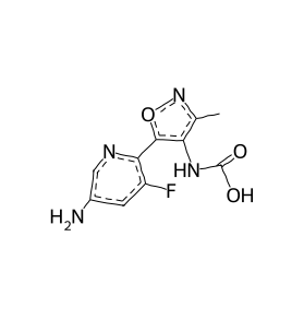 Cc1noc(-c2ncc(N)cc2F)c1NC(=O)O